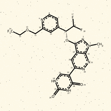 Cn1nc(O[C@H](c2ccnc(COCC(F)(F)F)c2)C(F)F)c2cc(-c3c[nH]c(=O)[nH]c3=O)nnc21